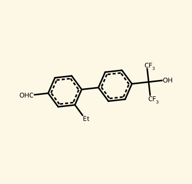 CCc1cc(C=O)ccc1-c1ccc(C(O)(C(F)(F)F)C(F)(F)F)cc1